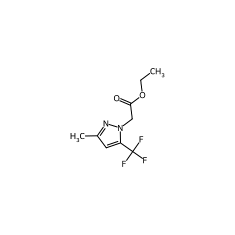 CCOC(=O)Cn1nc(C)cc1C(F)(F)F